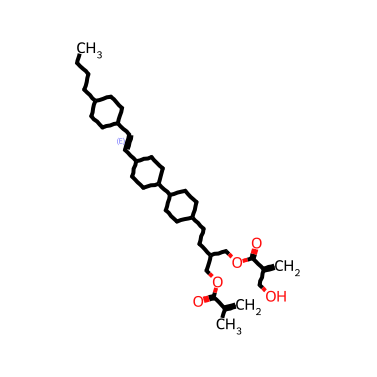 C=C(C)C(=O)OCC(CCC1CCC(C2CCC(/C=C/C3CCC(CCCC)CC3)CC2)CC1)COC(=O)C(=C)CO